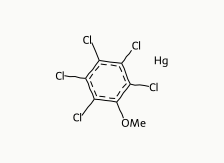 COc1c(Cl)c(Cl)c(Cl)c(Cl)c1Cl.[Hg]